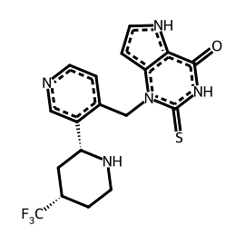 O=c1[nH]c(=S)n(Cc2ccncc2[C@H]2C[C@@H](C(F)(F)F)CCN2)c2cc[nH]c12